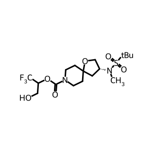 CN([C@H]1COC2(CCN(C(=O)OC(CO)C(F)(F)F)CC2)C1)S(=O)(=O)C(C)(C)C